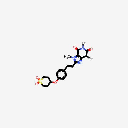 CCC1C(=O)N(CC)C(=O)c2c1nc(/C=C/c1ccc(OC3CCS(=O)(=O)CC3)cc1)n2C